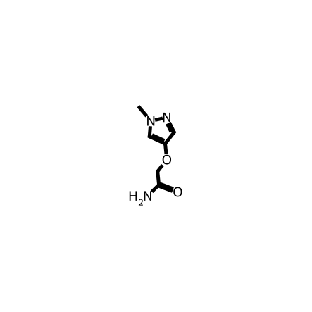 Cn1cc(OCC(N)=O)cn1